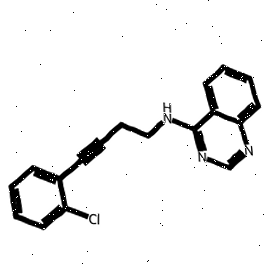 Clc1ccccc1C#CCCNc1ncnc2ccccc12